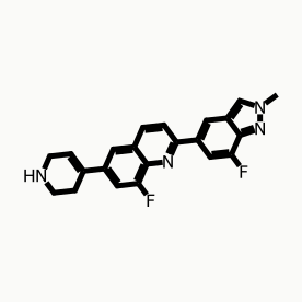 Cn1cc2cc(-c3ccc4cc(C5=CCNCC5)cc(F)c4n3)cc(F)c2n1